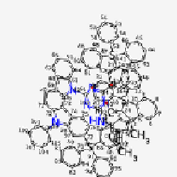 C=C(/C=C(\C)c1ccccc1[Si](c1ccccc1)(c1ccccc1)C(C)/C=C\C=C/C)Nc1nc(-c2cccc([Si](c3ccccc3)(c3ccccc3)c3ccccc3)c2)nc(-n2c3ccccc3c3ccc4c(c5ccc([Si](c6ccccc6)(c6ccccc6)c6ccccc6)cc5n4-c4ccccc4)c32)n1